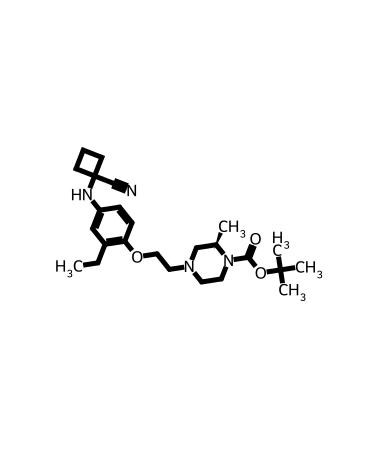 CCc1cc(NC2(C#N)CCC2)ccc1OCCN1CCN(C(=O)OC(C)(C)C)[C@H](C)C1